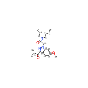 CCCCN(CCC)C(=O)Cn1nc(C(=O)C(C)C)c2ccc(OC)cc21